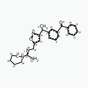 CC(c1cccc(C(=O)c2ccccc2)c1)c1cc(C/N=C(\N)N2CCCCC2)on1